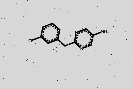 Nc1cnc(Cc2cccc(Cl)c2)nc1